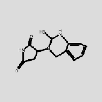 O=C1CC(N2Cc3ccccc3NC2S)C(=O)N1